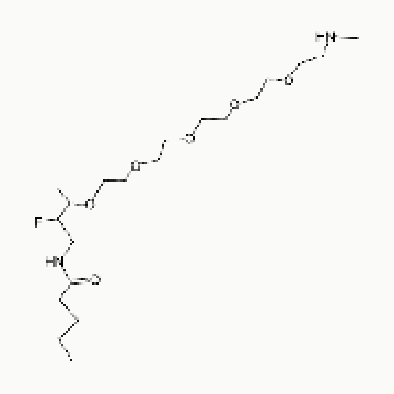 CCCCC(=O)NCC(F)C(C)OCCOCCOCCOCCOCCNC